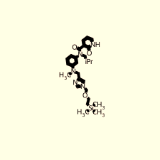 CC(C)CN(C(=O)c1ccc[nH]c1=O)c1cccc(N(C)Cc2cn(COCC[Si](C)(C)C)cn2)c1